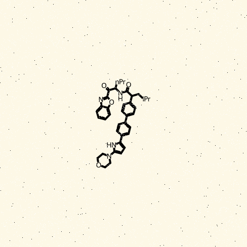 CCCC(NC(=O)C(CC(C)C)c1ccc(-c2ccc(-c3ccc(N4CCOCC4)[nH]3)cc2)cc1)C(=O)c1nc2ccccc2o1